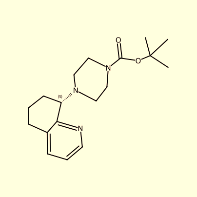 CC(C)(C)OC(=O)N1CCN([C@H]2CCCc3cccnc32)CC1